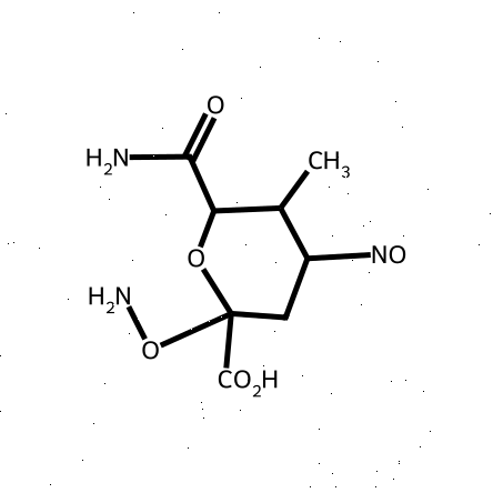 CC1C(N=O)CC(ON)(C(=O)O)OC1C(N)=O